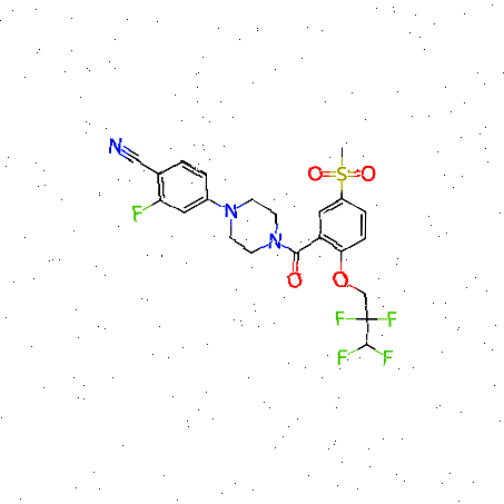 CS(=O)(=O)c1ccc(OCC(F)(F)C(F)F)c(C(=O)N2CCN(c3ccc(C#N)c(F)c3)CC2)c1